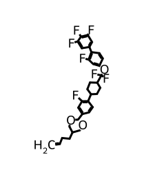 C=CCCC1COC(c2ccc(C3CCC(C(F)(F)Oc4ccc(-c5cc(F)c(F)c(F)c5)c(F)c4)CC3)c(F)c2)OC1